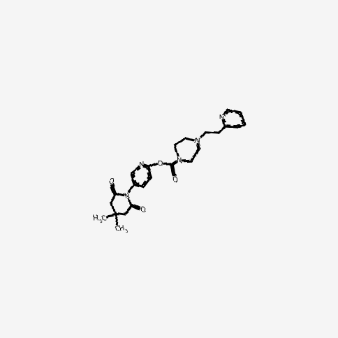 CC1(C)CC(=O)N(c2ccc(OC(=O)N3CCN(CCc4ccccn4)CC3)nc2)C(=O)C1